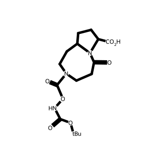 CC(C)(C)OC(=O)NOC(=O)N1CCC(=O)N2C(CCC2C(=O)O)CC1